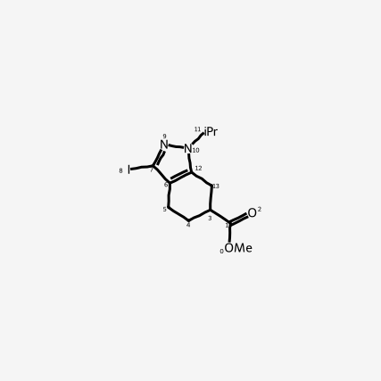 COC(=O)C1CCc2c(I)nn(C(C)C)c2C1